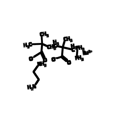 CC(C)(C)C(=O)[O-].CC(C)(C)C(=O)[O-].NCCN.PP.[Ru+2]